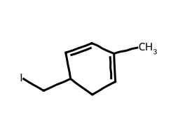 CC1=CCC(CI)C=C1